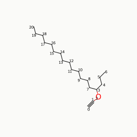 C#COC(CCC)CCCCCCCCCCCCCC